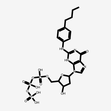 CCCCc1ccc(Nc2nc(=O)c3ncn(C4CC(O)C(COP(=O)(O)OP(=O)(O)OP(=O)(O)O)O4)c3[nH]2)cc1